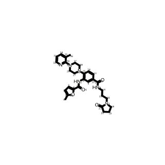 Cc1ccc(C(=O)Nc2cc(C(=O)NCCCN3CCCC3=O)ccc2N2CCN(c3ncccc3C)CC2)o1